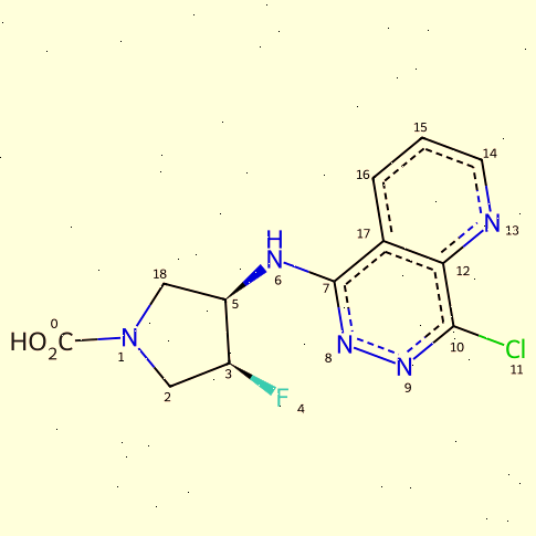 O=C(O)N1C[C@H](F)[C@H](Nc2nnc(Cl)c3ncccc23)C1